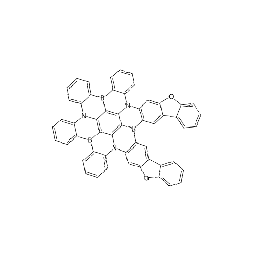 c1ccc2c(c1)B1c3ccccc3N3c4cc5oc6ccccc6c5cc4B4c5cc6c(cc5N5c7ccccc7B7c8ccccc8N2c2c1c3c4c5c27)oc1ccccc16